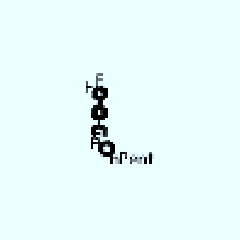 CCCCCC1CCC([Si@]2(F)CC[C@@H](c3ccc(-c4ccc(F)c(F)c4)cc3)CC2)CC1